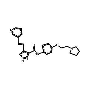 O=C(Nc1ccc(OCCN2CCCC2)cc1)c1n[nH]cc1/C=C/c1cccnc1